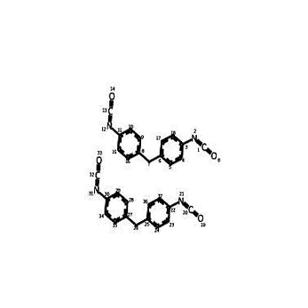 O=C=Nc1ccc(Cc2ccc(N=C=O)cc2)cc1.O=C=Nc1ccc(Cc2ccc(N=C=O)cc2)cc1